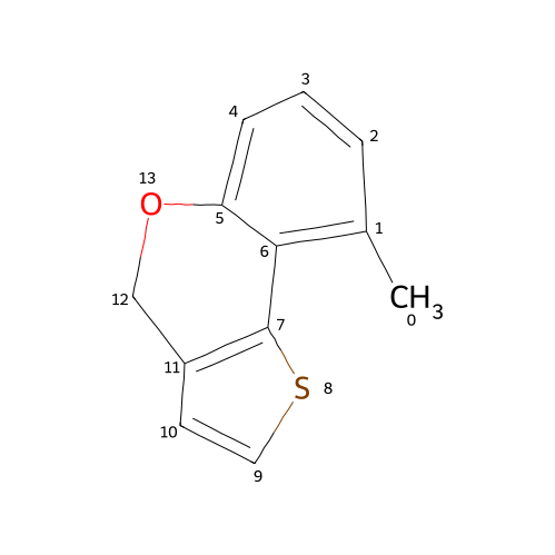 Cc1cccc2c1-c1sccc1CO2